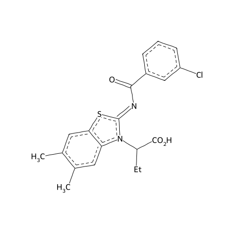 CCC(C(=O)O)n1c(=NC(=O)c2cccc(Cl)c2)sc2cc(C)c(C)cc21